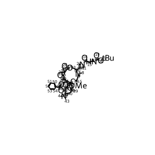 CO[C@]1(C)C[C@@H](C)CN(C)[C@H](C2CN(C(=O)CCNC(=O)OC(C)(C)C)C2)COC(=O)C(C)(C)C(=O)[C@H](C)[C@H]1O[C@@H]1O[C@H](C)C[C@H](N(C)C)[C@H]1OC(=O)c1ccccc1